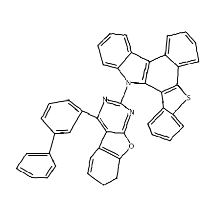 C1=Cc2c(oc3nc(-n4c5ccccc5c5c6ccccc6c6sc7ccccc7c6c54)nc(-c4cccc(-c5ccccc5)c4)c23)CC1